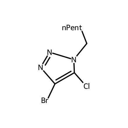 CCCCCCn1nnc(Br)c1Cl